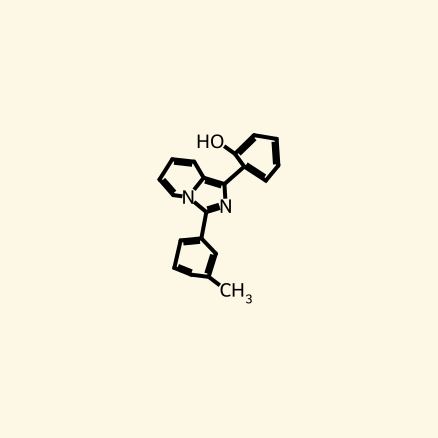 Cc1cccc(-c2nc(-c3ccccc3O)c3ccccn23)c1